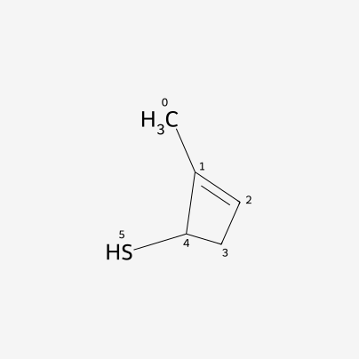 CC1=CCC1S